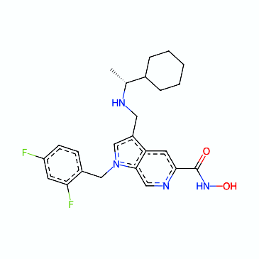 C[C@@H](NCc1cn(Cc2ccc(F)cc2F)c2cnc(C(=O)NO)cc12)C1CCCCC1